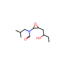 CCC(O)CC1OC1N(C=O)CC(C)C